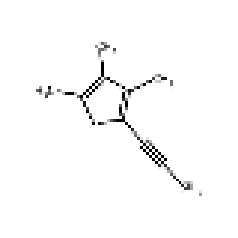 Cc1sc(C#C[SiH3])c(C)c1C